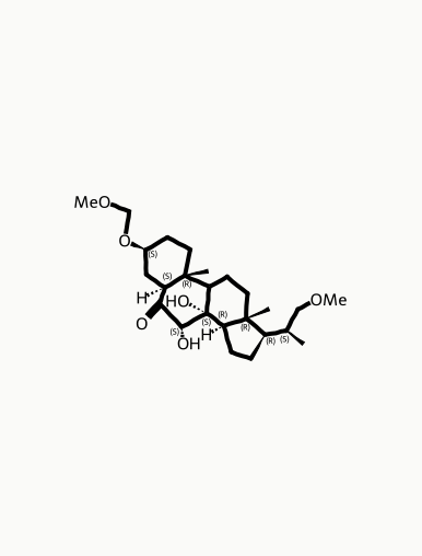 COCO[C@H]1CC[C@]2(C)C3CC[C@]4(C)[C@@H]([C@H](C)COC)CC[C@H]4[C@@]3(O)[C@H](O)C(=O)[C@H]2C1